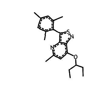 CCC(CC)Oc1cc(C)nc2c(-c3c(C)cc(C)cc3C)snc12